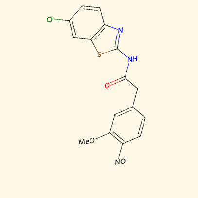 COc1cc(CC(=O)Nc2nc3ccc(Cl)cc3s2)ccc1N=O